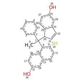 CC(c1ccccc1)(c1c(S)ccc2cc(O)ccc12)C1C=Cc2cc(O)ccc21